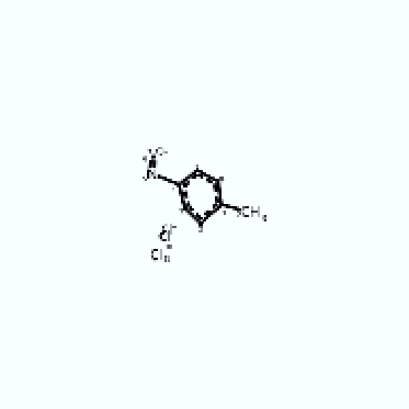 Cc1ccc([N]=[V+3])cc1.[Cl-].[Cl-].[Cl-]